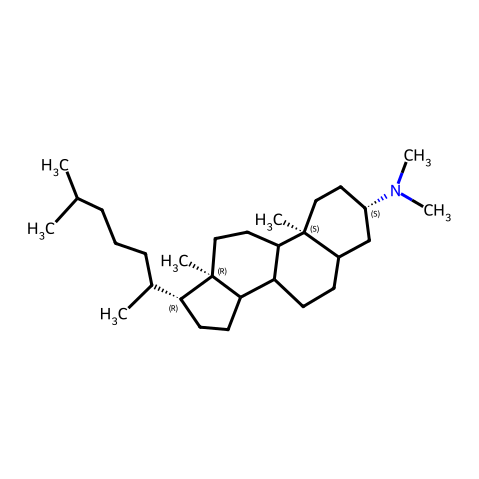 CC(C)CCCC(C)[C@H]1CCC2C3CCC4C[C@@H](N(C)C)CC[C@]4(C)C3CC[C@@]21C